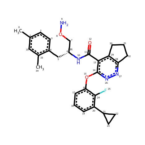 Cc1ccc(C[C@H](CON)NC(=O)c2c(Oc3cccc(C4CC4)c3F)nnc3c2CCC3)c(C)c1